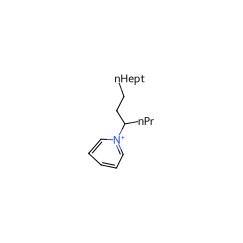 CCCCCCCCCC(CCC)[n+]1ccccc1